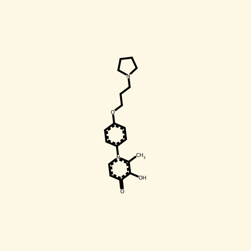 Cc1c(O)c(=O)ccn1-c1ccc(OCCCN2CCCC2)cc1